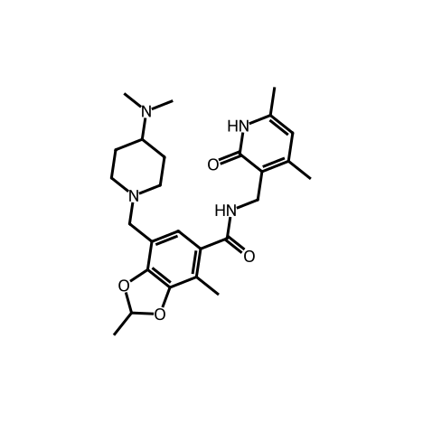 Cc1cc(C)c(CNC(=O)c2cc(CN3CCC(N(C)C)CC3)c3c(c2C)OC(C)O3)c(=O)[nH]1